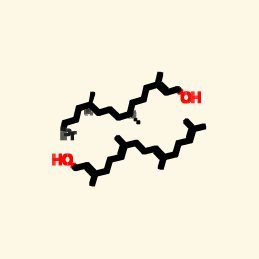 CC(=CCO)CCC[C@H](C)CCC[C@H](C)CCCC(C)C.CC(C)=CCCC(C)=CCCC(C)=CCCC(C)=CCO